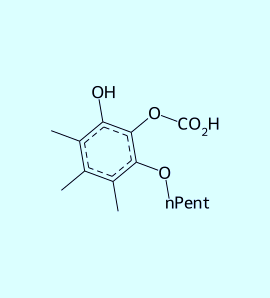 CCCCCOc1c(C)c(C)c(C)c(O)c1OC(=O)O